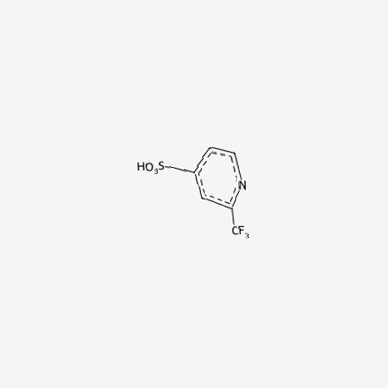 O=S(=O)(O)c1ccnc(C(F)(F)F)c1